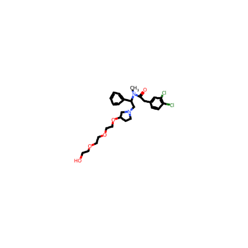 CN(C(=O)Cc1ccc(Cl)c(Cl)c1)C(CN1CCC(OCCOCCOCCO)C1)c1ccccc1